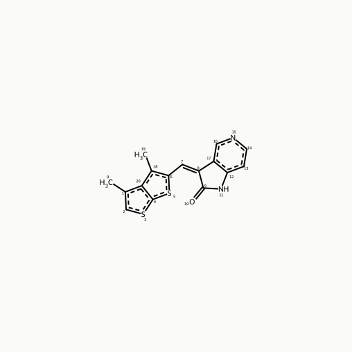 Cc1csc2sc(C=C3C(=O)Nc4ccncc43)c(C)c12